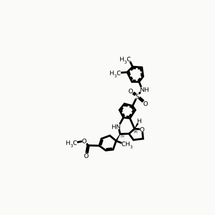 COC(=O)C1=CCC(C)([C@H]2Nc3ccc(S(=O)(=O)Nc4ccc(C)c(C)c4)cc3[C@@H]3OCCC32)C=C1